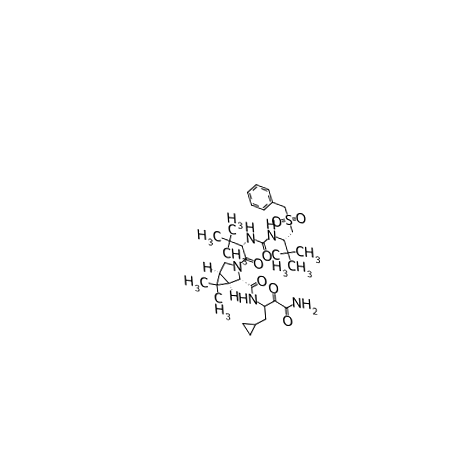 CC(C)(C)[C@H](NC(=O)N[C@H](CS(=O)(=O)Cc1ccccc1)C(C)(C)C)C(=O)N1C[C@H]2[C@@H]([C@H]1C(=O)NC(CC1CC1)C(=O)C(N)=O)C2(C)C